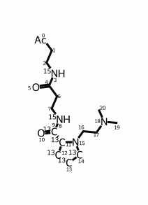 C[13C](=O)CC[15NH]C(=O)CC[15NH][13C](=O)[13CH]1[13CH2][13CH2][13CH2]N1CCN(C)C